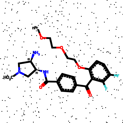 CCCOCCOCCOc1ccc(F)c(F)c1C(=O)c1ccc(C(=O)N[C@@H]2CN(C(=O)O)C[C@H]2N)cc1